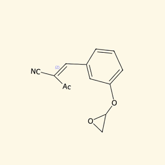 CC(=O)/C(C#N)=C\c1cccc(OC2CO2)c1